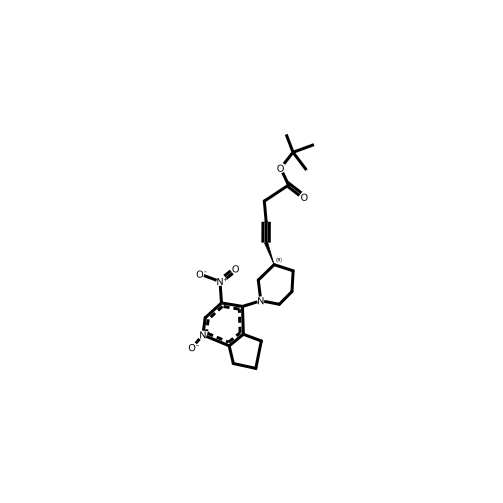 CC(C)(C)OC(=O)CC#C[C@H]1CCCN(c2c([N+](=O)[O-])c[n+]([O-])c3c2CCC3)C1